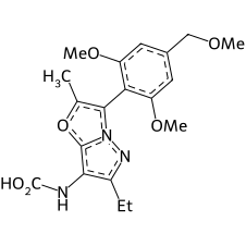 CCc1nn2c(-c3c(OC)cc(COC)cc3OC)c(C)oc2c1NC(=O)O